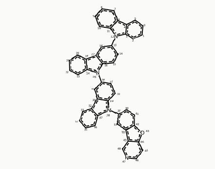 c1ccc2c(c1)c1ccccc1n2-c1ccc2c(c1)c1ccccc1n2-c1ccc2c(c1)c1ccccc1n2-c1ccc2oc3ccncc3c2c1